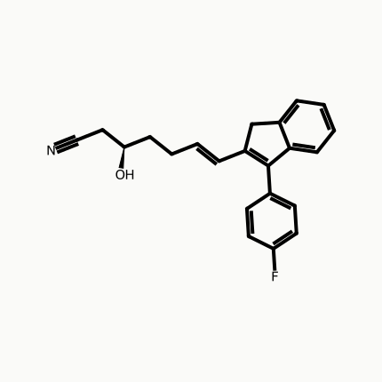 N#CC[C@H](O)CC/C=C/C1=C(c2ccc(F)cc2)c2ccccc2C1